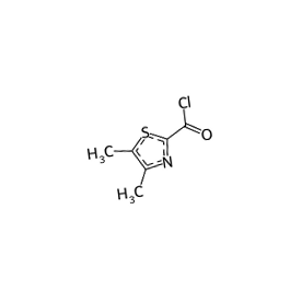 Cc1nc(C(=O)Cl)sc1C